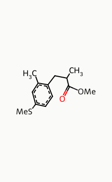 COC(=O)C(C)Cc1ccc(SC)cc1C